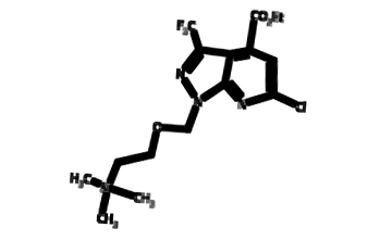 CCOC(=O)c1cc(Cl)nc2c1c(C(F)(F)F)nn2COCC[Si](C)(C)C